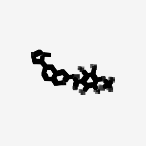 [2H]c1c([2H])c(C(=O)Nc2cc3cc(-c4cncn4C)ccc3cn2)c([2H])c([2H])c1OC([2H])([2H])[2H]